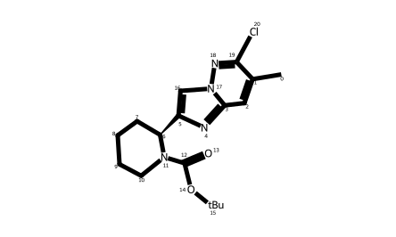 Cc1cc2nc([C@@H]3CCCCN3C(=O)OC(C)(C)C)cn2nc1Cl